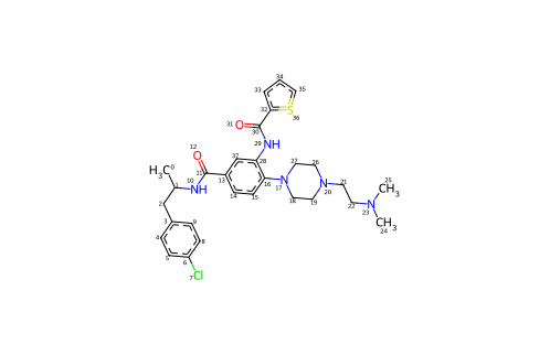 CC(Cc1ccc(Cl)cc1)NC(=O)c1ccc(N2CCN(CCN(C)C)CC2)c(NC(=O)c2cccs2)c1